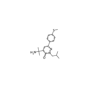 CSc1ccc(-c2cc(C(C)(C)N)c(=O)n(CC(C)C)n2)cc1